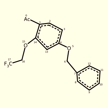 CC(=O)c1ccc(OCc2ccccc2)cc1OCC(F)(F)F